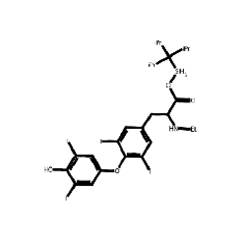 CCNC(Cc1cc(I)c(Oc2cc(I)c(O)c(I)c2)c(I)c1)C(=O)O[SiH2]C(C(C)C)(C(C)C)C(C)C